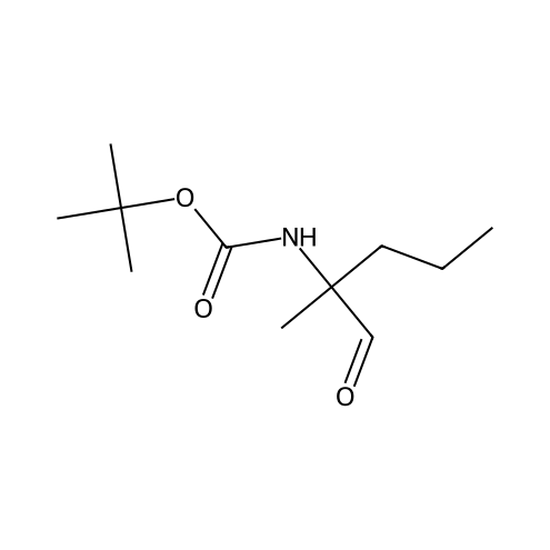 CCCC(C)(C=O)NC(=O)OC(C)(C)C